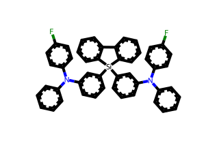 Fc1ccc(N(c2ccccc2)c2cccc([Si]3(c4cccc(N(c5ccccc5)c5ccc(F)cc5)c4)c4ccccc4-c4ccccc43)c2)cc1